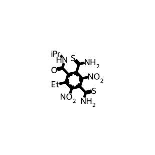 CCc1c(C(=O)NC(C)C)c(C(N)=S)c([N+](=O)[O-])c(C(N)=S)c1[N+](=O)[O-]